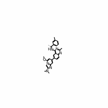 COc1cc(-c2ccc3nc(C)nc(N[C@H](C)c4cccc(C)c4)c3c2)cc2nc(N(C)C)cn12